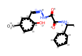 CC(NC(=O)C(=O)N/N=C\c1cc([N+](=O)[O-])ccc1O)c1ccccc1